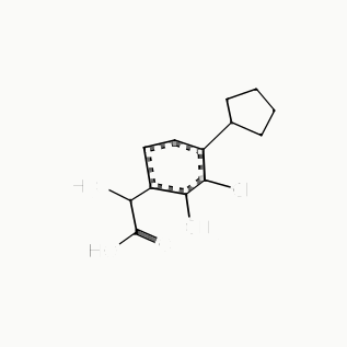 Cc1c(C(C)C(=O)O)ccc(C2CCCC2)c1Cl